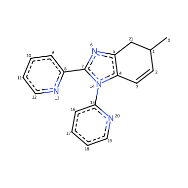 CC1C=Cc2c(nc(-c3ccccn3)n2-c2ccccn2)C1